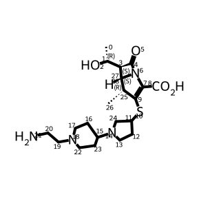 C[C@@H](O)[C@H]1C(=O)N2C(C(=O)O)=C(SC3CCN(C4CCN(CCN)CC4)C3)[C@H](C)[C@H]12